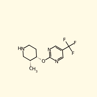 C[C@@H]1CNCC[C@@H]1Oc1ncc(C(F)(F)F)cn1